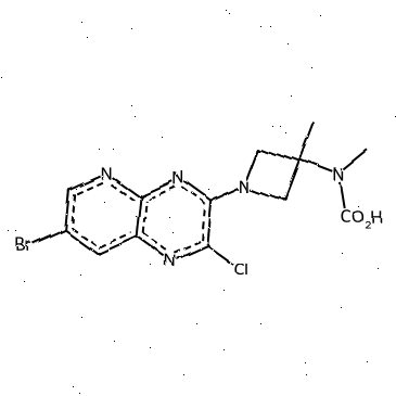 CN(C(=O)O)C1(C)CN(c2nc3ncc(Br)cc3nc2Cl)C1